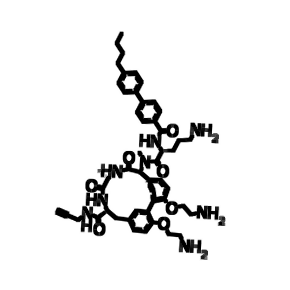 C#CCNC(=O)[C@@H]1Cc2ccc(OCCN)c(c2)-c2cc(ccc2OCCN)[C@H](N(C)C(=O)[C@H](CCCN)NC(=O)c2ccc(-c3ccc(CCCC)cc3)cc2)C(=O)N[C@@H](C)C(=O)N1